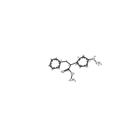 COC(=O)C(Cc1cc[c]cc1)c1ccc(OC)cc1